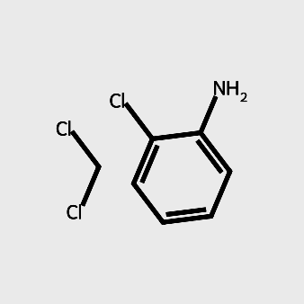 ClCCl.Nc1ccccc1Cl